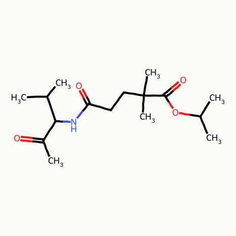 CC(=O)C(NC(=O)CCC(C)(C)C(=O)OC(C)C)C(C)C